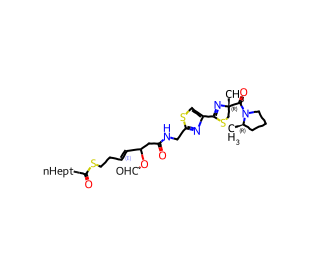 CCCCCCCC(=O)SCC/C=C/C(CC(=O)NCc1nc(C2=N[C@](C)(C(=O)N3CCC[C@H]3C)CS2)cs1)OC=O